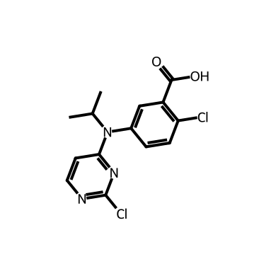 CC(C)N(c1ccc(Cl)c(C(=O)O)c1)c1ccnc(Cl)n1